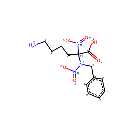 NCCCC[C@@](C(=O)O)(N(Cc1ccccc1)[N+](=O)[O-])[N+](=O)[O-]